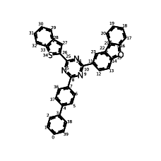 c1ccc(-c2ccc(-c3nc(-c4ccc5oc6ccccc6c5c4)nc(-c4cc5ccccc5s4)n3)cc2)cc1